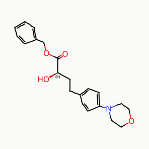 O=C(OCc1ccccc1)[C@H](O)CCc1ccc(N2CCOCC2)cc1